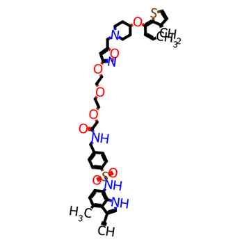 C#Cc1c[nH]c2c(NS(=O)(=O)c3ccc(CNC(=O)COCCOCCOc4cc(CN5CCC(OC(/C=C\C)=c6\sccc6=C)CC5)on4)cc3)ccc(C)c12